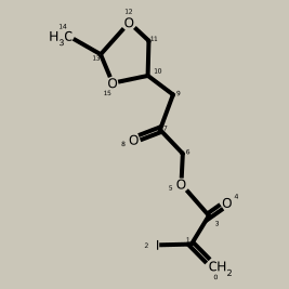 C=C(I)C(=O)OCC(=O)CC1COC(C)O1